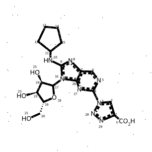 O=C(O)c1cn(-c2ncc3nc(NC4CCCC4)n(C4O[C@H](CO)[C@@H](O)[C@H]4O)c3n2)nn1